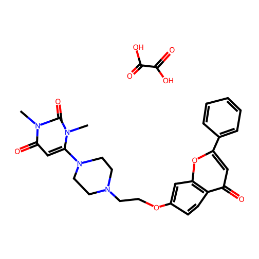 Cn1c(N2CCN(CCOc3ccc4c(=O)cc(-c5ccccc5)oc4c3)CC2)cc(=O)n(C)c1=O.O=C(O)C(=O)O